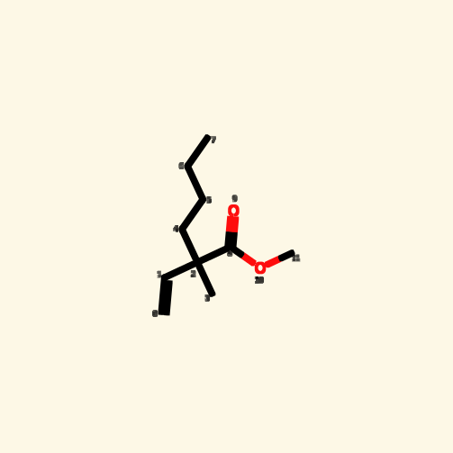 C=CC(C)(CCCC)C(=O)OC